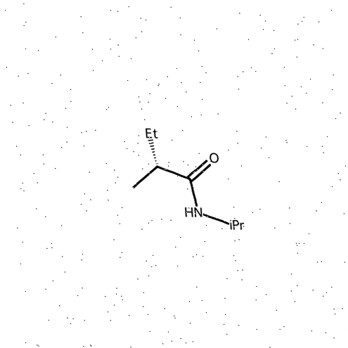 CC[C@@H](C)C(=O)NC(C)C